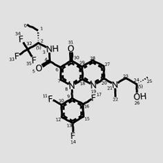 CC[C@H](NC(=O)c1cn(-c2c(F)cc(F)cc2F)c2nc(N(C)C[C@H](C)O)ccc2c1=O)C(F)(F)F